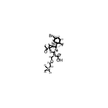 CC(=O)[C@]12C[C@H]1[C@@](C)(c1cc(Br)ccc1F)N=C(N(COCC[Si](C)(C)C)C(=O)O)S2